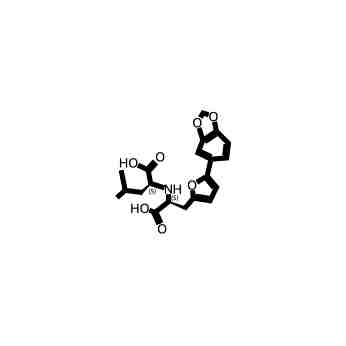 CC(C)C[C@H](N[C@@H](Cc1ccc(-c2ccc3c(c2)OCO3)o1)C(=O)O)C(=O)O